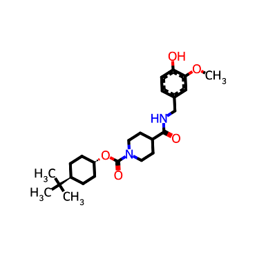 COc1cc(CNC(=O)C2CCN(C(=O)O[C@H]3CC[C@H](C(C)(C)C)CC3)CC2)ccc1O